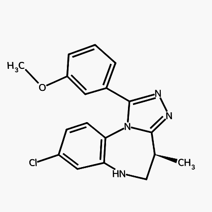 COc1cccc(-c2nnc3n2-c2ccc(Cl)cc2NC[C@@H]3C)c1